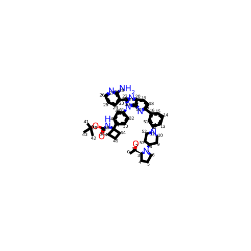 CC(=O)[C@@H]1CCCN1C1CCN(c2cccc(-c3ccc4nc(-c5cccnc5N)n(-c5ccc(C6(NC(=O)OC(C)(C)C)CCC6)cc5)c4n3)c2)CC1